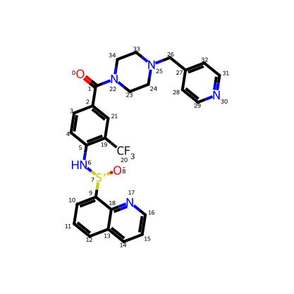 O=C(c1ccc(N[S+]([O-])c2cccc3cccnc23)c(C(F)(F)F)c1)N1CCN(Cc2ccncc2)CC1